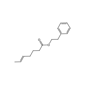 CC=CCCCC(=O)OCCc1ccccc1